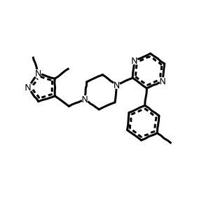 Cc1cccc(-c2nccnc2N2CCN(Cc3cnn(C)c3C)CC2)c1